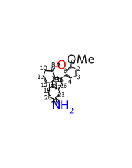 COc1cccc2c1OCc1ccccc1/C2=C\c1cccc(N)c1